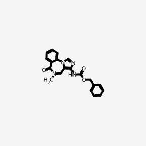 CN1Cc2c(NC(=O)OCc3ccccc3)ncn2-c2ccccc2C1=O